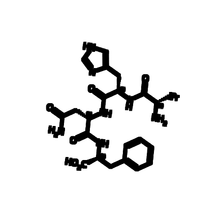 CC(C)[C@H](N)C(=O)N[C@@H](Cc1c[nH]cn1)C(=O)N[C@@H](CC(N)=O)C(=O)N[C@@H](Cc1ccccc1)C(=O)O